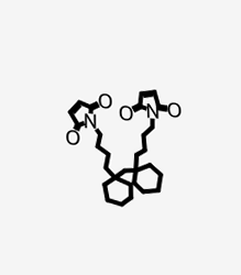 O=C1C=CC(=O)N1CCCCC1(CC2(CCCCN3C(=O)C=CC3=O)CCCCC2)CCCCC1